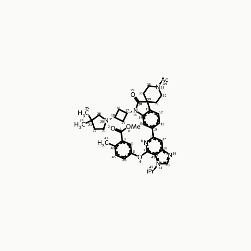 COC(=O)c1cc(Oc2nc(-c3ccc4c(c3)N([C@H]3C[C@@H](N5CCC(C)(C)C5)C3)C(=O)C43CCN(C(C)=O)CC3)cc3ncn(C(C)C)c23)ccc1C